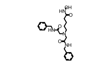 O=C(CCCCN(CC(=O)NCc1ccccc1)CC(=O)NCc1ccccc1)NO